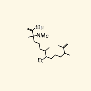 C=C(C)C(C)CCCC(CC)C(C)CCCC(C)(NC)C(=C)C(C)(C)C